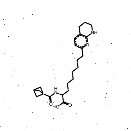 O=C(O)C(CCCCCCCc1ccc2c(n1)NCCC2)NC(=O)C12CC(C1)C2